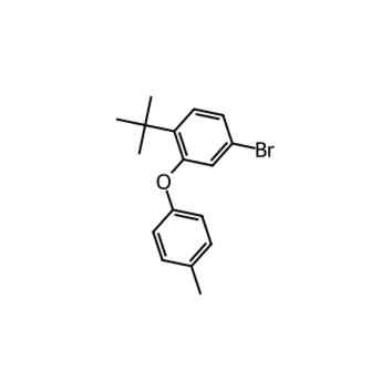 Cc1ccc(Oc2cc(Br)ccc2C(C)(C)C)cc1